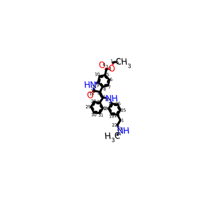 CCOC(=O)c1ccc2c(c1)NC(=O)C2=C(Nc1ccc(CCNC)cc1)c1ccccc1